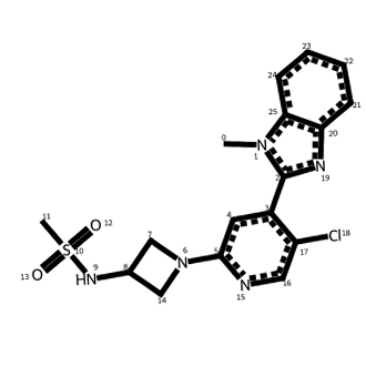 Cn1c(-c2cc(N3CC(NS(C)(=O)=O)C3)ncc2Cl)nc2ccccc21